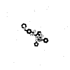 CCN(C(=O)[N+]1(C(=O)OC2CCCC2)N=C(NC(=O)c2ccc(CN3CCCCC3)cc2)c2ccsc21)c1ccccc1